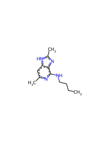 CCCCNc1nc(C)cc2[nH]c(C)nc12